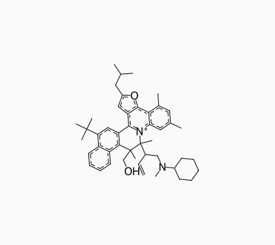 C=CC(CN(C)C1CCCCC1)C1(C)[n+]2c(c3cc(CC(C)C)oc3c3c(C)cc(C)cc32)-c2cc(C(C)(C)C)c3ccccc3c2C1(C)CO